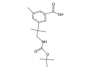 Cc1cc(C(=O)O)cc(C(C)(C)CNC(=O)OC(C)(C)C)c1